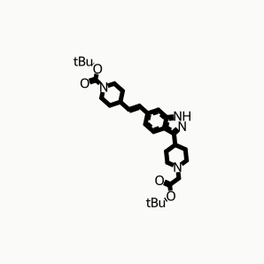 CC(C)(C)OC(=O)CN1CCC(c2n[nH]c3cc(/C=C/C4CCN(C(=O)OC(C)(C)C)CC4)ccc23)CC1